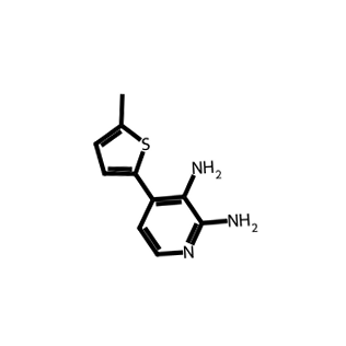 Cc1ccc(-c2ccnc(N)c2N)s1